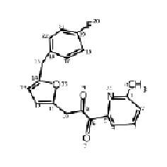 Cc1cccc(C(=O)C(=O)Cc2ccc(Cc3ccc(F)cc3)o2)n1